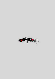 CN(C)Cc1ccc2cc(NC(=O)c3ccc(-c4ccc(F)cc4)cc3)ccc2n1